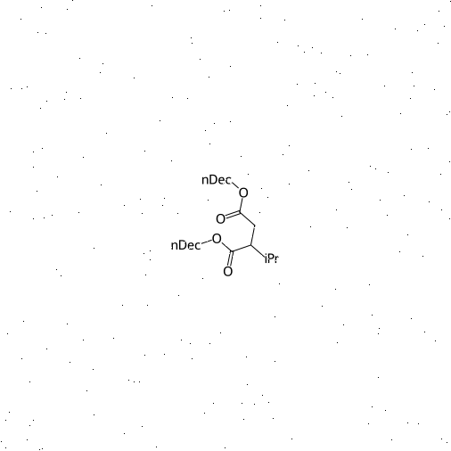 CCCCCCCCCCOC(=O)CC(C(=O)OCCCCCCCCCC)C(C)C